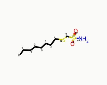 CCCCCCCCSCS(N)(=O)=O